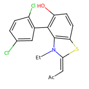 CCN1C(=CC(C)=O)Sc2ccc(O)c(-c3cc(Cl)ccc3Cl)c21